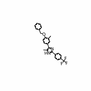 Cc1cc(-c2nc(-c3ccc(C(F)(F)F)cc3)[nH]c2C)ccc1OCc1ccccc1